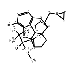 CO[C@@]12CCC3(C[C@@H]1[C@](C)(O)C(C)(C)C)C1Cc4ccc(O)c5c4[C@@]3(CCN1CC1CC1)C2O5